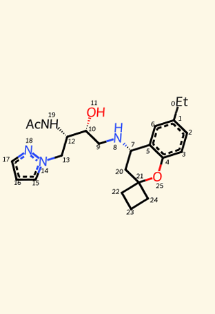 CCc1ccc2c(c1)[C@@H](NC[C@@H](O)[C@H](Cn1cccn1)NC(C)=O)CC1(CCC1)O2